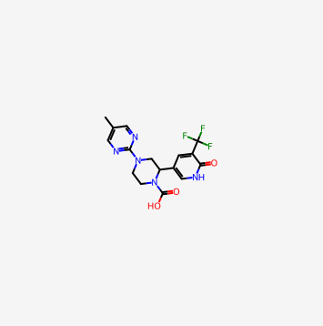 Cc1cnc(N2CCN(C(=O)O)C(c3c[nH]c(=O)c(C(F)(F)F)c3)C2)nc1